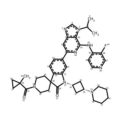 CC(C)n1cnc2cc(-c3ccc4c(c3)N([C@H]3C[C@@H](N5CCCCC5)C3)C(=O)C43CCN(C(=O)C4(C)CC4)CC3)nc(Nc3ccncc3F)c21